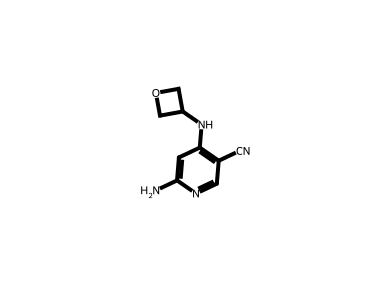 N#Cc1cnc(N)cc1NC1COC1